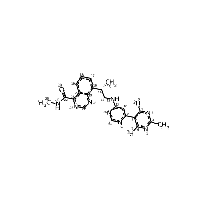 [2H]c1nc(C)nc([2H])c1-c1cc(NC[C@@H](C)c2cccc3c(C(=O)NC)ncnc23)ncn1